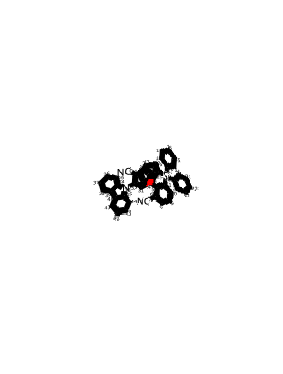 N#Cc1ccc(-c2c(C#N)cccc2[Si](c2ccccc2)(c2ccccc2)c2ccccc2)cc1-n1c2ccccc2c2ccccc21